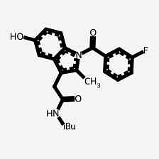 CCC(C)NC(=O)Cc1c(C)n(C(=O)c2cccc(F)c2)c2ccc(O)cc12